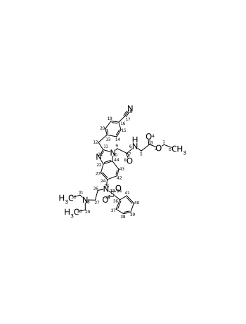 CCOC(=O)CNC(=O)Cn1c(Cc2ccc(C#N)cc2)nc2cc(N(CCN(CC)CC)S(=O)(=O)c3ccccc3)ccc21